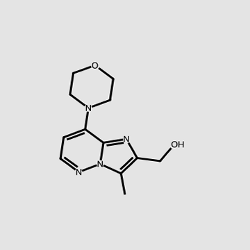 Cc1c(CO)nc2c(N3CCOCC3)ccnn12